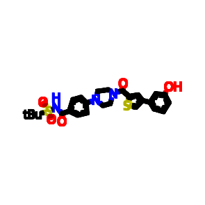 CC(C)(C)S(=O)(=O)NC(=O)c1ccc(N2CCN(C(=O)c3cc(-c4cccc(O)c4)cs3)CC2)cc1